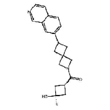 C[C@]1(O)C[C@@H](C(=O)N2CC3(CC(c4ccc5ccncc5c4)C3)C2)C1